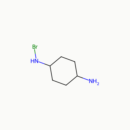 NC1CCC(NBr)CC1